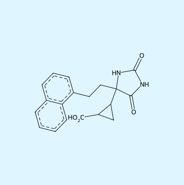 O=C1NC(=O)C(CCc2cccc3ccccc23)(C2CC2C(=O)O)N1